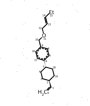 C=C[C@H]1CC[C@H](c2ccc(COCC=CCC)cc2)CC1